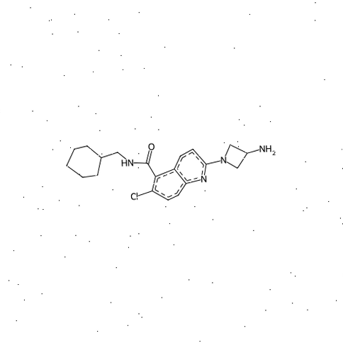 NC1CN(c2ccc3c(C(=O)NCC4CCCCC4)c(Cl)ccc3n2)C1